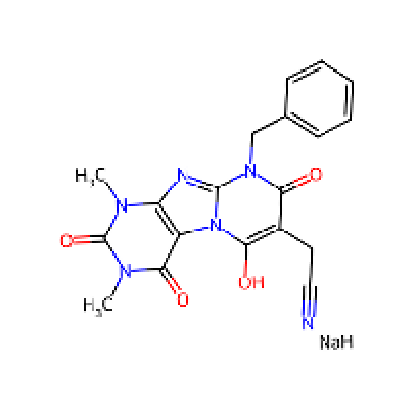 Cn1c(=O)c2c(nc3n(Cc4ccccc4)c(=O)c(CC#N)c(O)n23)n(C)c1=O.[NaH]